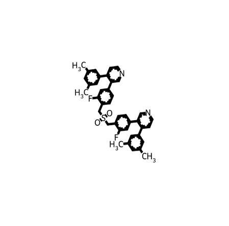 Cc1cc(C)cc(-c2ccncc2-c2ccc(CS(=O)(=O)Cc3ccc(-c4cnccc4-c4cc(C)cc(C)c4)cc3F)c(F)c2)c1